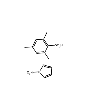 Cc1cc(C)c(S(=O)(=O)O)c(C)c1.O=[N+]([O-])n1ccnn1